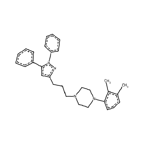 Cc1cccc(N2CCN(CCCc3cc(-c4ccccc4)n(-c4ccccc4)n3)CC2)c1C